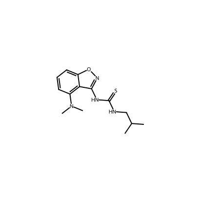 CC(C)CNC(=S)Nc1noc2cccc(N(C)C)c12